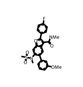 CNC(=O)c1c(-c2ccc(F)cc2)oc2cc(N(C)S(C)(=O)=O)c(-c3cccc(OC)c3)cc12